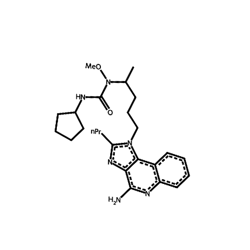 CCCc1nc2c(N)nc3ccccc3c2n1CCCC(C)N(OC)C(=O)NC1CCCC1